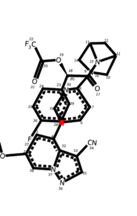 CCOc1cc(-c2ccc(N3CC4CC(C3)N4C(=O)[C@H](OC(=O)C(F)(F)F)c3ccc(F)cc3)nc2)c2c(C#N)cnn2c1